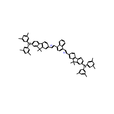 Cc1cc(C)cc(N(c2cc(C)cc(C)c2)c2ccc3c(c2)C(C)(C)c2cc(/C=C/c4ccc(/C=C/c5ccc6c(c5)C(C)(C)c5cc(N(c7cc(C)cc(C)c7)c7cc(C)cc(C)c7)ccc5-6)c5ccccc45)ccc2-3)c1